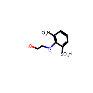 O=[N+]([O-])c1cccc(S(=O)(=O)O)c1NCCO